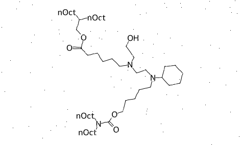 CCCCCCCCC(CCCCCCCC)COC(=O)CCCCCN(CCO)CCN(CCCCCOC(=O)N(CCCCCCCC)CCCCCCCC)C1CCCCC1